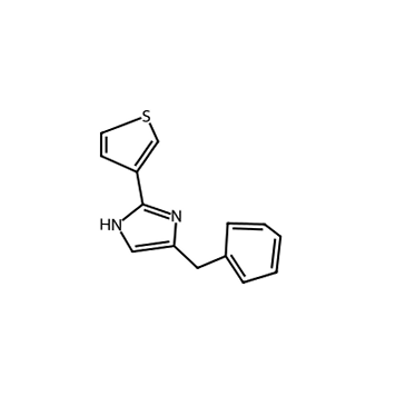 c1ccc(Cc2c[nH]c(-c3ccsc3)n2)cc1